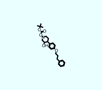 CC(C)(C)OC(=O)ON1CCC(c2ccc(OCCCc3ccccc3)cc2)C(O)C1